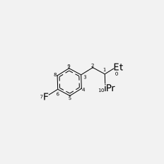 CCC(Cc1ccc(F)cc1)C(C)C